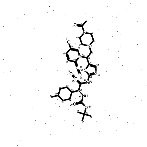 CC(=O)N1CCN(CC(c2cnc(NC(=C=O)[C@@H](NC(=O)OC(C)(C)C)C3CCC(C)CC3)s2)N2C=C(Cl)C=CC2=C=O)CC1